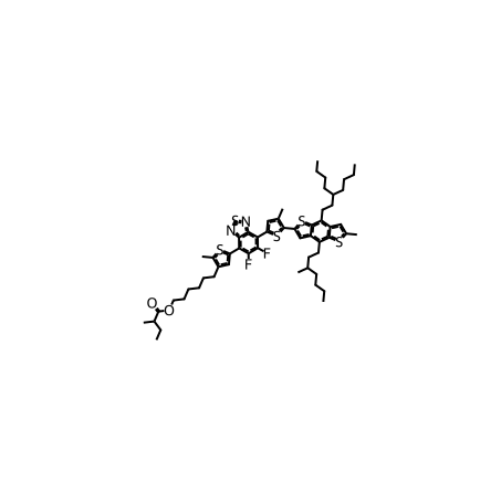 CCCCC(C)CCc1c2cc(-c3sc(-c4c(F)c(F)c(-c5cc(CCCCCCOC(=O)C(C)CC)c(C)s5)c5nsnc45)cc3C)sc2c(CCC(CCCC)CCCC)c2cc(C)sc12